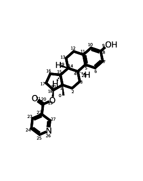 C[C@]12CC[C@@H]3c4ccc(O)cc4CC[C@H]3[C@@H]1CC[C@@H]2OC(=O)c1cccnc1